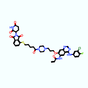 C=CC(=O)Nc1cc2c(Nc3ccc(F)c(Cl)c3)ncnc2cc1OCCCN1CCN(C(=O)CCCCSc2cccc3c2C(=O)N(C2CCC(=O)NC2=O)C3=O)CC1